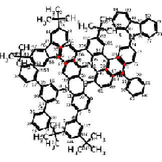 CC(C)(C)c1cc(-c2ccc3c(c2)N(c2cc(-c4ccccc4)cc(-c4ccccc4)c2)c2cc(-n4c5ccc(C(C)(C)C)cc5c5cc(C(C)(C)C)ccc54)cc4c2B3c2ccc(N(c3ccccc3)c3ccc(-n5c6ccccc6c6ccccc65)cc3)cc2N4c2c(-c3ccccc3)cc(C(C)(C)C)cc2-c2ccccc2)cc(C(C)(C)C)c1